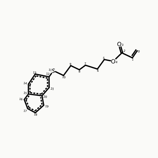 C=CC(=O)OCCCCCCSc1ccc2ccccc2c1